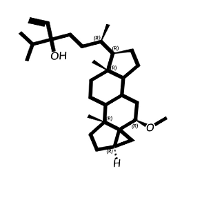 C=CC(O)(CC[C@@H](C)[C@H]1CCC2C3C[C@@H](OC)C45C[C@H]4CC[C@]5(C)C3CC[C@@]21C)C(C)C